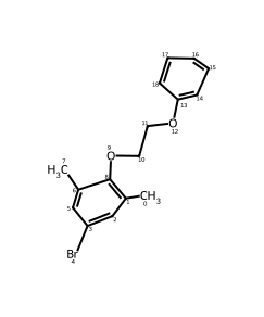 Cc1cc(Br)cc(C)c1OCCOc1ccccc1